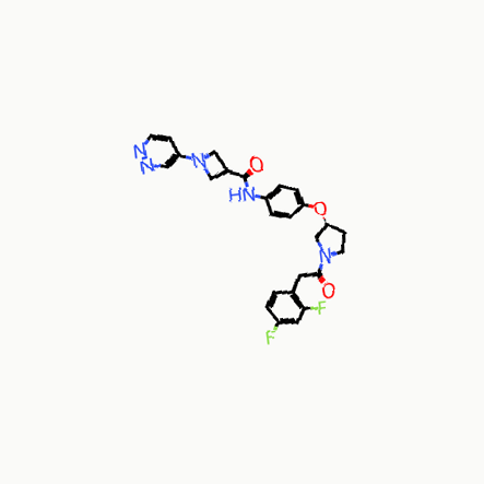 O=C(Nc1ccc(O[C@@H]2CCN(C(=O)Cc3ccc(F)cc3F)C2)cc1)C1CN(c2ccnnc2)C1